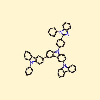 c1ccc(-n2c(-c3ccc(-n4c5ccc(-c6ccc7c(c6)c6ccccc6n7-c6ccccc6)cc5c5cc(-n6c7ccccc7c7ccccc76)ccc54)cc3)nc3ccccc32)cc1